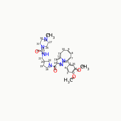 COc1ccc(/C2=C/C=C\CCc3cc(C(=O)N4CCC(CNC(=O)N5CCN(C)CC5)C4)nn32)cc1OC